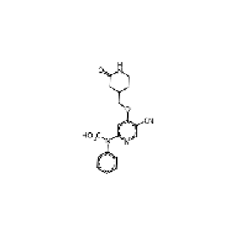 N#Cc1cnc(N(C(=O)O)c2ccccc2)cc1OCC1CCNC(=O)C1